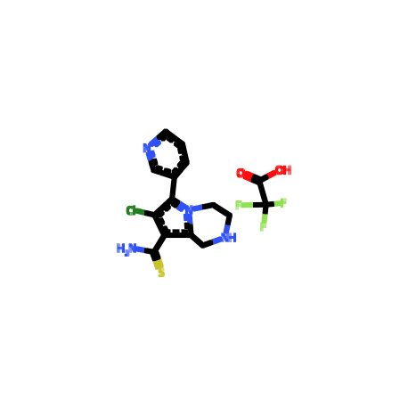 NC(=S)c1c(Cl)c(-c2cccnc2)n2c1CNCC2.O=C(O)C(F)(F)F